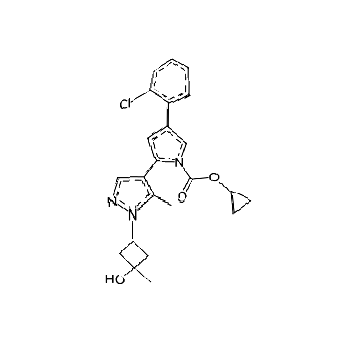 Cc1c(-c2cc(-c3ccccc3Cl)cn2C(=O)OC2CC2)cnn1C1CC(C)(O)C1